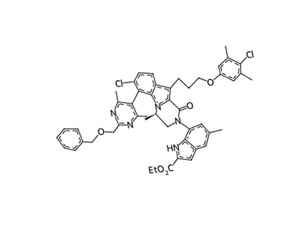 CCOC(=O)c1cc2cc(C)cc(N3C[C@@H](C)n4c(c(CCCOc5cc(C)c(Cl)c(C)c5)c5ccc(Cl)c(-c6c(C)nc(COCc7ccccc7)nc6C)c54)C3=O)c2[nH]1